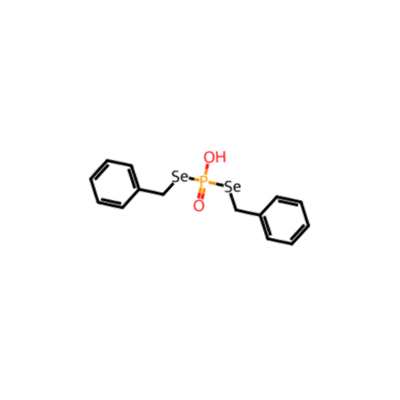 O=P(O)([Se]Cc1ccccc1)[Se]Cc1ccccc1